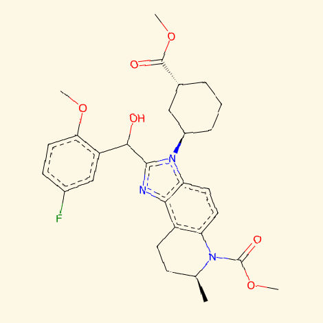 COC(=O)[C@@H]1CCC[C@@H](n2c(C(O)c3cc(F)ccc3OC)nc3c4c(ccc32)N(C(=O)OC)[C@@H](C)CC4)C1